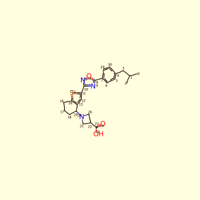 CC(C)Cc1ccc(-c2nc(-c3cc4c(s3)CCCC4N3CC(C(=O)O)C3)no2)cc1